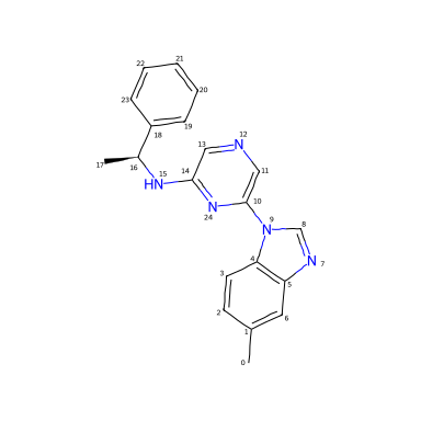 Cc1ccc2c(c1)ncn2-c1cncc(N[C@@H](C)c2ccccc2)n1